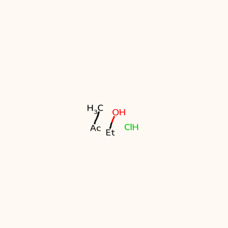 CC(C)=O.CCO.Cl